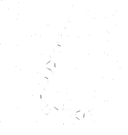 O=C(CCCCON(O)O)OCCc1ccc(OC(=O)CCC/C=C\C[C@@H]2[C@@H](/C=C/[C@@H](O)COc3cccc(C(F)(F)F)c3)[C@H](O)C[C@@H]2O)cc1